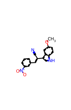 COc1ccc2[nH]cc(/C(C#N)=C/c3cccc([N+](=O)[O-])c3)c2c1